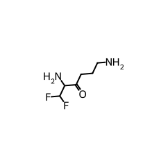 NCCCC(=O)C(N)C(F)F